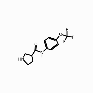 O=C(Nc1ccc(OC(F)(F)F)cc1)C1CCNC1